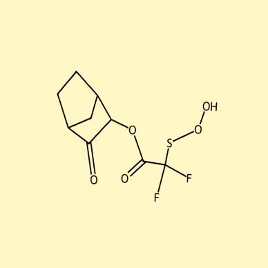 O=C1C2CCC(C2)C1OC(=O)C(F)(F)SOO